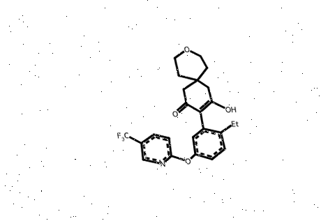 CCc1ccc(Oc2ccc(C(F)(F)F)cn2)cc1C1=C(O)CC2(CCOCC2)CC1=O